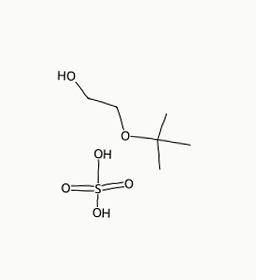 CC(C)(C)OCCO.O=S(=O)(O)O